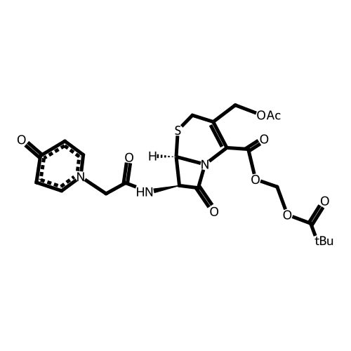 CC(=O)OCC1=C(C(=O)OCOC(=O)C(C)(C)C)N2C(=O)[C@@H](NC(=O)Cn3ccc(=O)cc3)[C@H]2SC1